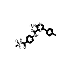 Cc1ccc(-c2cnc(N)c(C(=O)Nc3ccc(C(=O)NS(C)(=O)=O)cc3)n2)cc1